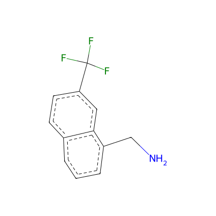 NCc1cccc2ccc(C(F)(F)F)cc12